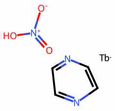 O=[N+]([O-])O.[Tb].c1cnccn1